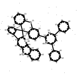 c1ccc(-c2cc(-c3ccccc3)nc(-c3ccc4c(c3)Sc3ccccc3C43c4ccccc4-c4cc5oc6ccccc6c5cc43)n2)cc1